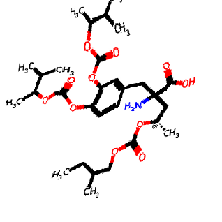 CCC(C)COC(=O)O[C@@H](C)CC(N)(Cc1ccc(OC(=O)OC(C)C(C)C)c(OC(=O)OC(C)C(C)C)c1)C(=O)O